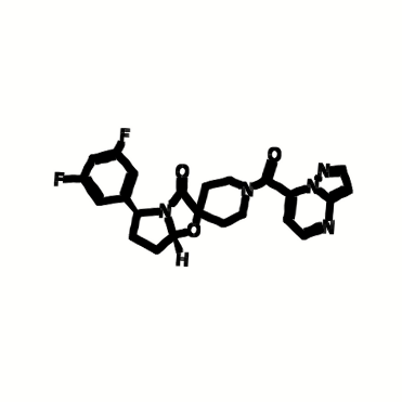 O=C(c1ccnc2ccnn12)N1CCC2(CC1)O[C@@H]1CC[C@@H](c3cc(F)cc(F)c3)N1C2=O